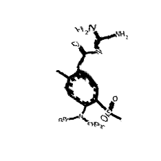 CCCN(CCC)c1cc(C)c(C(=O)N=C(N)N)cc1S(C)(=O)=O